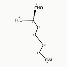 CCCCCCCC[C@@H](C)C=O